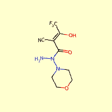 N#C/C(C(=O)N(N)N1CCOCC1)=C(/O)C(F)(F)F